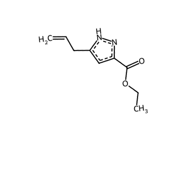 C=CCc1cc(C(=O)OCC)n[nH]1